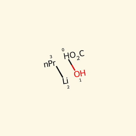 O=C(O)O.[Li][CH2]CC